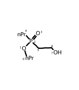 CCCOP(=O)(CCC)CCO